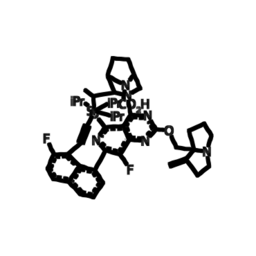 C=C1CCN2CCCC12COc1nc2c3c(nc(-c4cccc5ccc(F)c(C#C[Si](C(C)C)(C(C)C)C(C)C)c45)c(F)c3n1)OC(C)C1C3CCC(CN21)N3C(=O)O